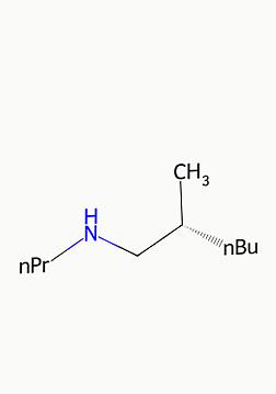 CCCC[C@@H](C)CNCCC